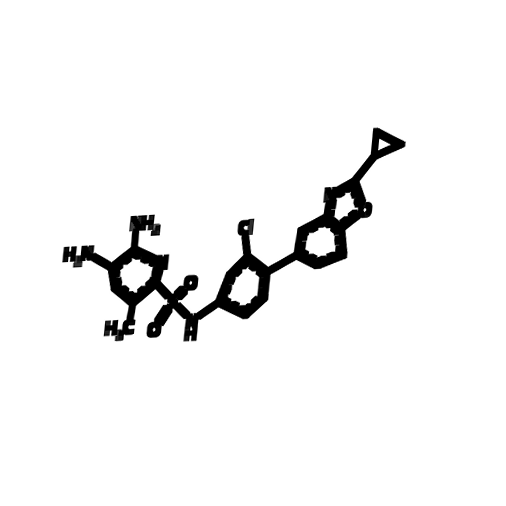 Cc1cc(N)c(N)nc1S(=O)(=O)Nc1ccc(-c2ccc3oc(C4CC4)nc3c2)c(Cl)c1